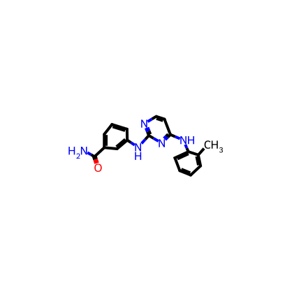 Cc1ccccc1Nc1ccnc(Nc2cccc(C(N)=O)c2)n1